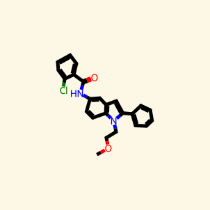 COCCn1c(-c2ccccc2)cc2cc(NC(=O)c3ccccc3Cl)ccc21